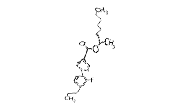 CCCCCCC(C)OC(=O)c1ccc(-c2ccc(CCC)cc2F)cc1